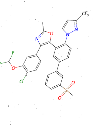 Cc1nc(-c2ccc(Cl)c(OC(F)F)c2)c(-c2cc(-c3cccc(S(C)(=O)=O)c3)ccc2-n2ccc(C(F)(F)F)n2)o1